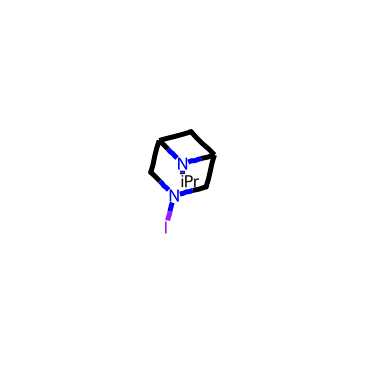 CC(C)N1C2CC1CN(I)C2